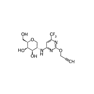 C#CCOc1nc(N[C@H]2CO[C@H](CO)[C@H](O)[C@@H]2O)cc(C(F)(F)F)n1